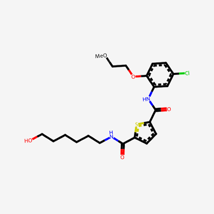 COCCOc1ccc(Cl)cc1NC(=O)c1ccc(C(=O)NCCCCCCO)s1